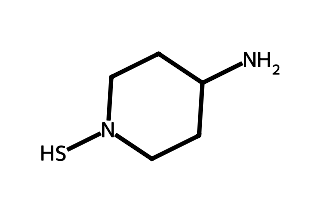 NC1CCN(S)CC1